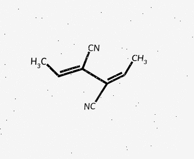 CC=C(C#N)C(C#N)=CC